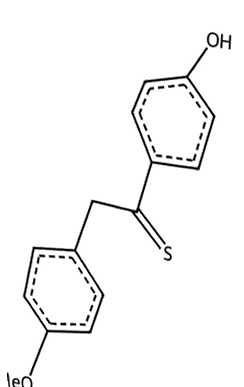 COc1ccc(CC(=S)c2ccc(O)cc2)cc1